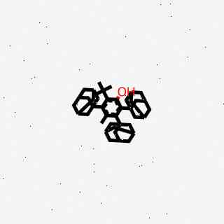 Cc1c(C23CC4CC(CC(C4)C2)C3)c(C(C)(C)C)c(O)c(C23CC4CC(CC(C4)C2)C3)c1C12CC3CC(CC(C3)C1)C2